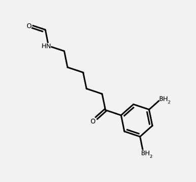 Bc1cc(B)cc(C(=O)CCCCCNC=O)c1